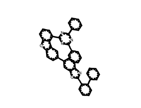 c1ccc(-c2nc(-c3ccccc3)nc(-c3cccc4oc5ccc(-c6ccc7nc(-c8ccccc8-c8ccccc8)oc7c6)cc5c34)n2)cc1